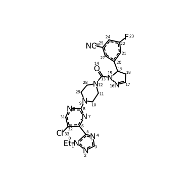 CCn1ncnc1-c1nc(N2CCN(C(=O)N3N=CCC3c3cc(F)cc(C#N)c3)CC2)ncc1Cl